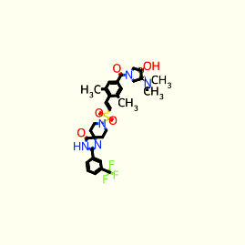 Cc1cc(C(=O)N2C[C@@H](O)[C@H](N(C)C)C2)cc(C)c1C=CS(=O)(=O)N1CCC2(CC1)N=C(c1cccc(C(F)(F)F)c1)NC2=O